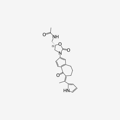 CC(=O)NC[C@H]1CN(c2ccc3c(c2)CCCC(=C(C)c2ccc[nH]2)C3=O)C(=O)O1